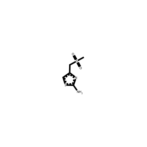 CS(=O)(=O)Cc1csc(N)n1